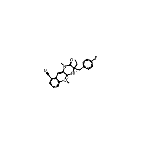 CCC1(Cc2ccc(F)cc2)NC(=O)C(=Cc2c(C#N)cccc2OC)N(C)C1=O